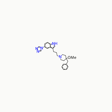 COC1(Cc2ccccc2)CCN(CCCc2c[nH]c3ccc(-n4cnnc4)cc23)CC1